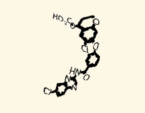 O=C(O)OC1CCOc2cc(Oc3ccc(C(=O)Nc4cnc5ccc(Cl)cc5n4)cc3)c(Cl)cc21